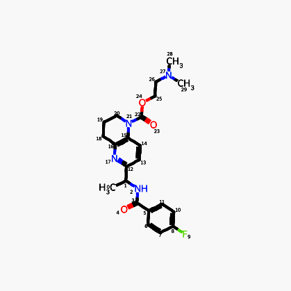 CC(NC(=O)c1ccc(F)cc1)c1ccc2c(n1)CCCN2C(=O)OCCN(C)C